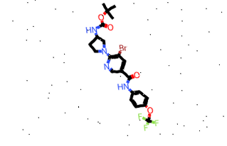 CC(C)(C)OC(=O)NC1CCN(c2ncc(C(=O)Nc3ccc(OC(F)(F)F)cc3)cc2Br)C1